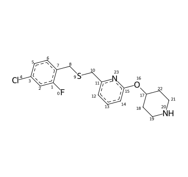 Fc1cc(Cl)ccc1CSCc1cccc(OC2CCNCC2)n1